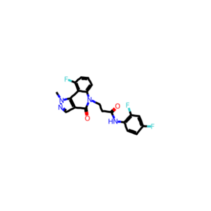 Cn1ncc2c(=O)n(CCC(=O)Nc3ccc(F)cc3F)c3cccc(F)c3c21